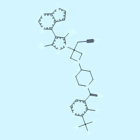 N#CCC1(n2nc(N)c(-c3ncnc4[nH]ccc34)c2N)CN(C2CCN(C(=O)c3ccnc(C(F)(F)F)c3F)CC2)C1